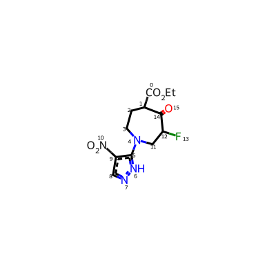 CCOC(=O)C1CCN(c2[nH]ncc2[N+](=O)[O-])CC(F)C1=O